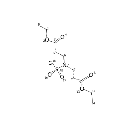 CCOC(=O)CCN(CCC(=O)OCC)S(=O)(=O)Cl